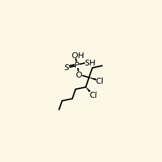 CCCC[C@H](Cl)[C@@](Cl)(CC)OP(O)(=S)S